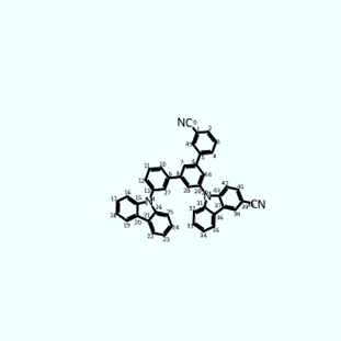 N#Cc1cccc(-c2cc(-c3cccc(-n4c5ccccc5c5ccccc54)c3)cc(-n3c4ccccc4c4cc(C#N)ccc43)c2)c1